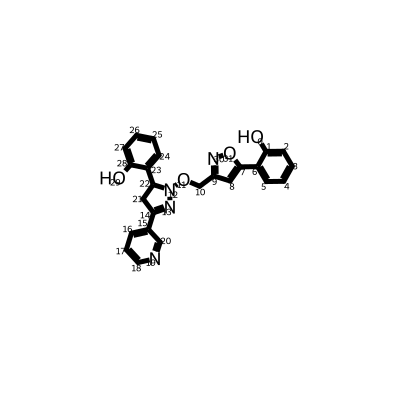 Oc1ccccc1-c1cc(CON2N=C(c3cccnc3)CC2c2ccccc2O)no1